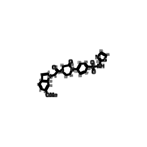 COc1ccc2ccn(CC(=O)N3CCN(c4ccc(S(=O)(=O)Nc5nccs5)cc4)C(=O)C3)c2c1